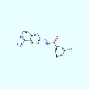 Nc1nccc2cc(CNC(=O)c3cncc(Cl)c3)ccc12